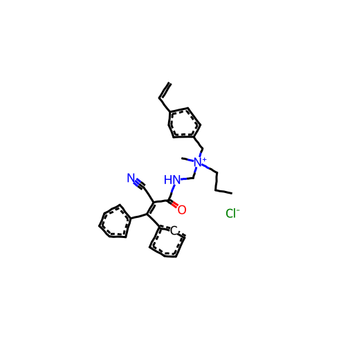 C=Cc1ccc(C[N+](C)(CCC)CNC(=O)C(C#N)=C(c2ccccc2)c2ccccc2)cc1.[Cl-]